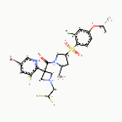 C[C@H](Oc1ccc(S(=O)(=O)C2CC(C(=O)O)N(C(=O)C3(c4ncc(Br)cc4F)CN(CC(F)F)C3)C2)c(Cl)c1)C(F)(F)F